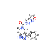 O=C(NCc1ccon1)N1CCc2[nH]nc(-c3ccccc3)c2C1